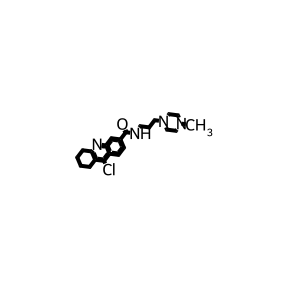 CN1CCN(CCCNC(=O)c2ccc3c(Cl)c4c(nc3c2)CCCC4)CC1